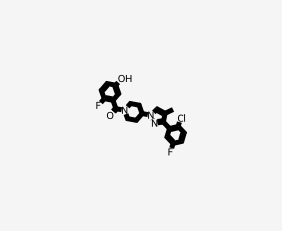 Cc1cn(C2CCN(C(=O)c3cc(O)ccc3F)CC2)nc1-c1cc(F)ccc1Cl